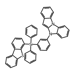 c1ccc([Si](c2ccccc2)(c2cccc(-n3c4ccccc4n4c5ccccc5cc34)c2)c2cccc3c2sc2ccccc23)cc1